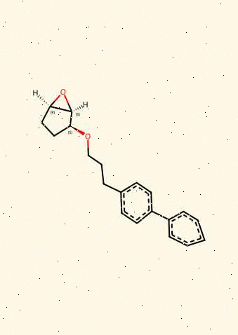 c1ccc(-c2ccc(CCCO[C@H]3CC[C@H]4O[C@@H]34)cc2)cc1